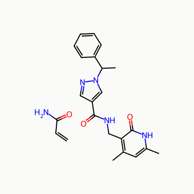 C=CC(N)=O.Cc1cc(C)c(CNC(=O)c2cnn(C(C)c3ccccc3)c2)c(=O)[nH]1